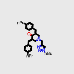 CCCCn1cc(CN2C/C(=C/c3ccc(CCC)cc3)C(=O)/C(=C/c3ccc(CCC)cc3)C2)nn1